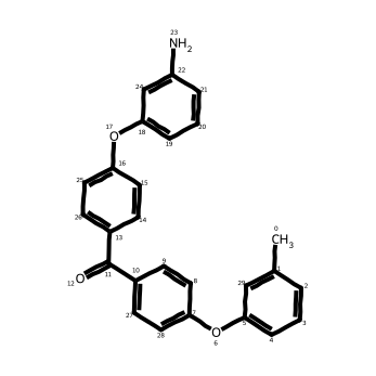 Cc1cccc(Oc2ccc(C(=O)c3ccc(Oc4cccc(N)c4)cc3)cc2)c1